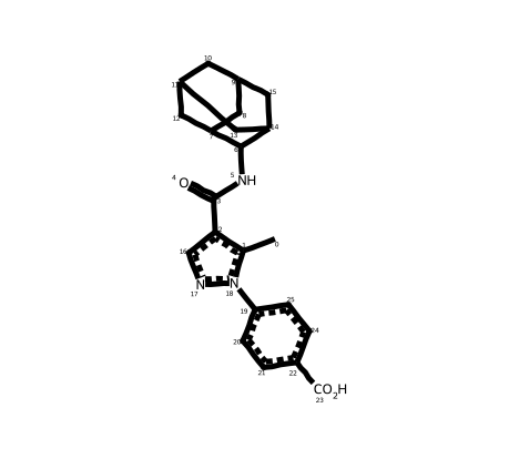 Cc1c(C(=O)NC2C3CC4CC(C3)CC2C4)cnn1-c1ccc(C(=O)O)cc1